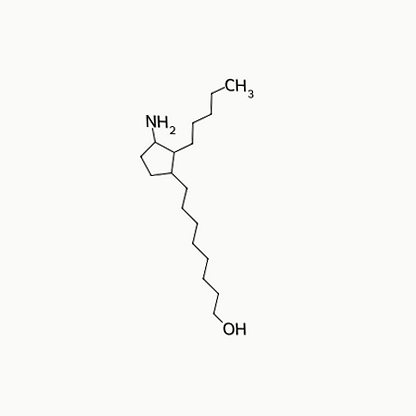 CCCCCC1C(N)CCC1CCCCCCCCO